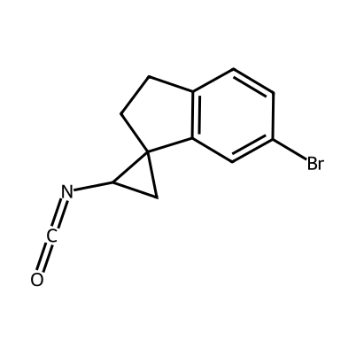 O=C=NC1CC12CCc1ccc(Br)cc12